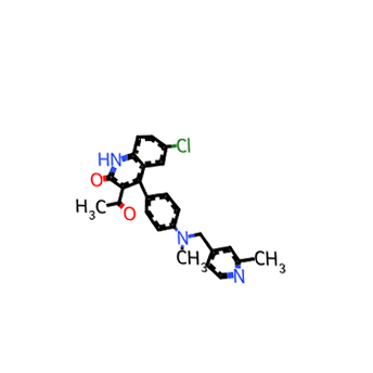 CC(=O)c1c(-c2ccc(N(C)Cc3ccnc(C)c3)cc2)c2cc(Cl)ccc2[nH]c1=O